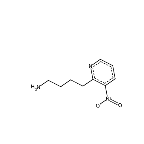 NCCCCc1ncccc1[N+](=O)[O-]